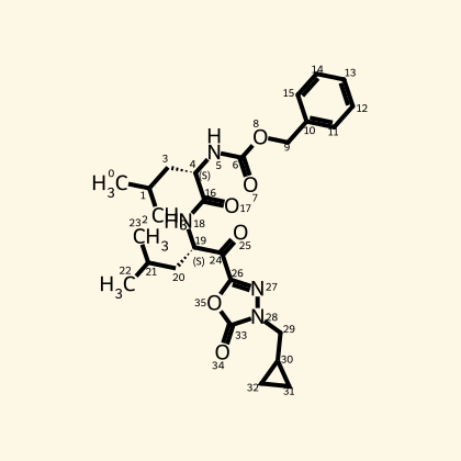 CC(C)C[C@H](NC(=O)OCc1ccccc1)C(=O)N[C@@H](CC(C)C)C(=O)c1nn(CC2CC2)c(=O)o1